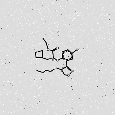 CCCCOC1CON=C1c1cc(Br)ccc1O[C@@H](CC1CCC1)C(=O)OCC